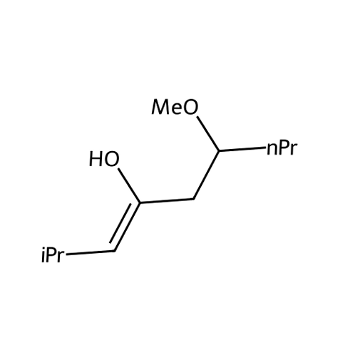 CCCC(CC(O)=CC(C)C)OC